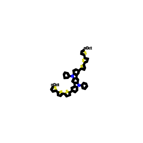 CCCCCCCCc1ccc(-c2ccc(-c3ccc(-c4ccc5c(c4)c4cc6c(cc4n5-c4ccccc4)c4cc(-c5ccc(-c7ccc(-c8ccc(CCCCCCCC)s8)s7)s5)ccc4n6-c4ccccc4)s3)s2)s1